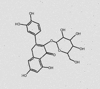 O=C1C(OC2OC(CO)C(O)C(O)C2O)=C(c2ccc(O)c(O)c2)Cc2cc(O)cc(O)c21